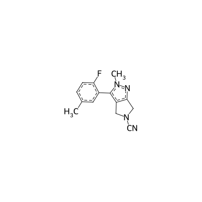 Cc1ccc(F)c(-c2c3c(nn2C)CN(C#N)C3)c1